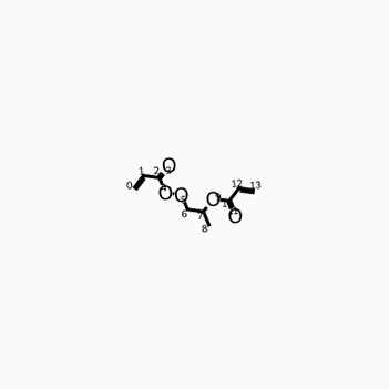 C=CC(=O)OOCC(C)OC(=O)C=C